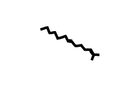 CCCCCCC=CCCCC=C(C)C